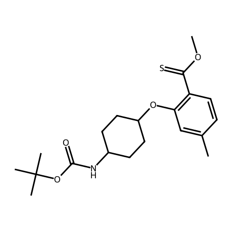 COC(=S)c1ccc(C)cc1OC1CCC(NC(=O)OC(C)(C)C)CC1